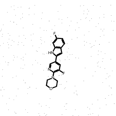 Fc1ccc2cc(-c3cnc(N4CCOCC4)c(F)c3)[nH]c2c1